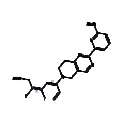 C=C/C(=C\C(F)=C(\F)COC)N1CCc2nc(-c3cccc(OC)n3)ncc2C1